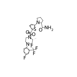 C[C@@H]1CN(c2ccc(F)cc2C(F)(F)F)CCN1S(=O)(=O)c1ccc(N2CCCC2C(N)=O)s1